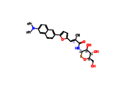 CCCN(CCC)c1ccc2cc(-c3ccc(/C=C(\C#N)C(=O)N[C@H]4SO[C@H](CO)[C@@H](O)[C@@H]4O)o3)ccc2c1